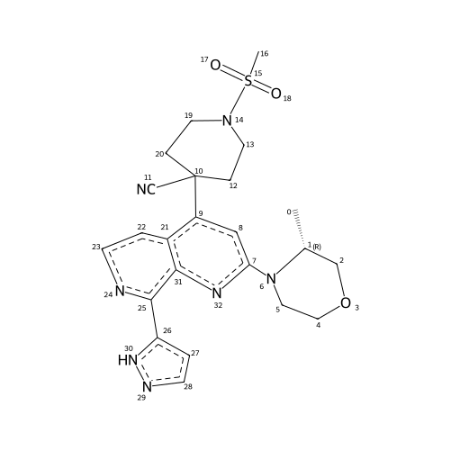 C[C@@H]1COCCN1c1cc(C2(C#N)CCN(S(C)(=O)=O)CC2)c2ccnc(-c3ccn[nH]3)c2n1